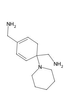 NCC1=CCC(CN)(N2CCCCC2)C=C1